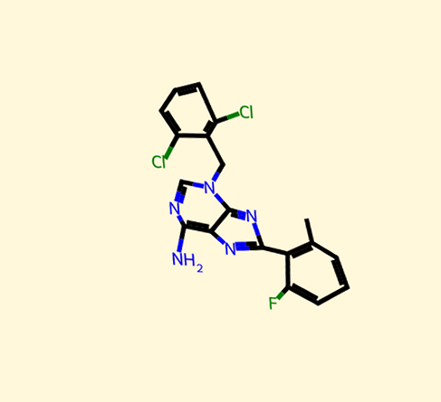 Cc1cccc(F)c1-c1nc2c(N)ncn(Cc3c(Cl)cccc3Cl)c-2n1